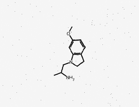 COc1ccc2c(c1)N(CC(C)N)CC2